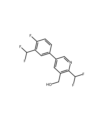 OCc1cc(-c2ccc(F)c(C(F)F)c2)cnc1C(F)F